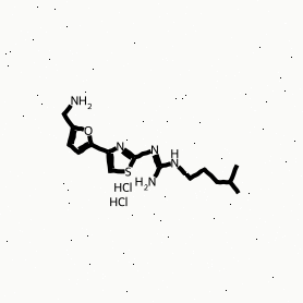 CC(C)CCCN/C(N)=N/c1nc(-c2ccc(CN)o2)cs1.Cl.Cl